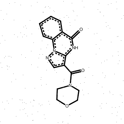 O=C(c1cnn2c1[nH]c(=O)c1ccccc12)N1CCOCC1